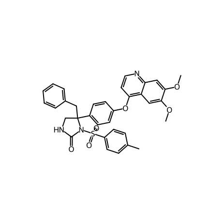 COc1cc2nccc(Oc3ccc(C4(Cc5ccccc5)CNC(=O)N4S(=O)(=O)c4ccc(C)cc4)cc3)c2cc1OC